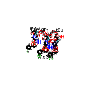 CC(=O)OC[C@H]1O[C@@H](n2ccc(NP3(=O)OCCC(c4cccc(Cl)c4)O3)nc2=O)C(F)(F)[C@@H]1OC(C)=O.CC(C)C(=O)OC[C@H]1O[C@@H](n2ccc(NP3(=O)OCCC(c4cccc(Cl)c4)O3)nc2=O)C(F)(F)[C@@H]1OC(=O)C(C)C.COc1ccc(C2CCOP(=O)(Nc3ccn([C@@H]4O[C@H](COC(=O)C(C)(C)C)[C@@H](O)C4(F)F)c(=O)n3)O2)cc1Cl